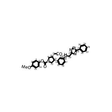 COc1ccc(OC(=O)N2C[C@H](CC(=O)O)[C@H](c3cccc(OCc4noc(-c5ccccc5)n4)c3)C2)cc1